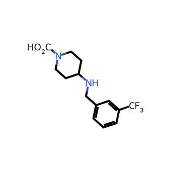 O=C(O)N1CCC(NCc2cccc(C(F)(F)F)c2)CC1